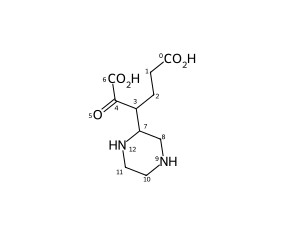 O=C(O)CCC(C(=O)C(=O)O)C1CNCCN1